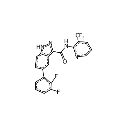 O=C(Nc1ncccc1C(F)(F)F)c1n[nH]c2ccc(-c3cccc(F)c3F)cc12